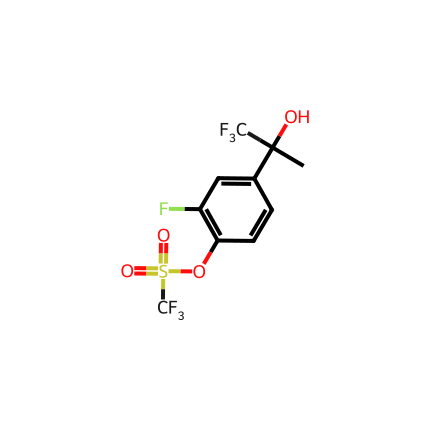 CC(O)(c1ccc(OS(=O)(=O)C(F)(F)F)c(F)c1)C(F)(F)F